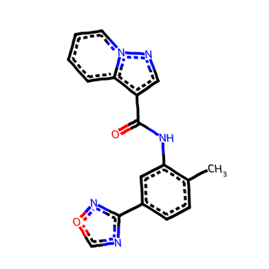 Cc1ccc(-c2ncon2)cc1NC(=O)c1cnn2ccccc12